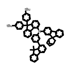 CC(C)(C)c1ccc(C2(c3ccc(C(C)(C)C)cc3)c3ccccc3-c3c(N(c4cccc(-c5cccc6c5C(C)(C)c5ccccc5-6)c4)c4ccc5c(c4)C4(CC6CCC4C6)c4ccccc4-5)cccc32)cc1